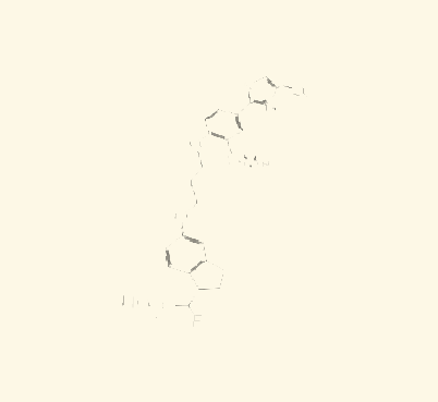 CCc1csc(-c2ccc(OCCCOc3ccc4c(c3)CC[C@H]4C(CC)C(=O)O)c(OC)c2)n1